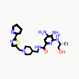 CC[C@H](CO)Nc1nc(C(=O)NCC2CCN(Cc3cnc(-c4ccccn4)s3)CC2)cc(N)c1N